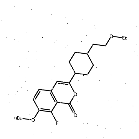 CCCCOc1ccc2cc(C3CCC(CCOCC)CC3)oc(=O)c2c1F